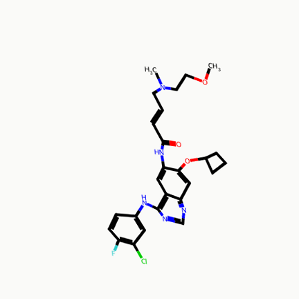 COCCN(C)CC=CC(=O)Nc1cc2c(Nc3ccc(F)c(Cl)c3)ncnc2cc1OC1CCC1